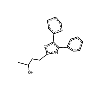 CC(O)CCc1nc(-c2ccccc2)c(-c2ccccc2)o1